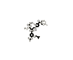 CCN(C)C(=O)c1ccc(NCc2nc(-c3ccc(OC(F)F)c(OCC4CC4)c3)oc2C(C)OC(N)=O)nc1